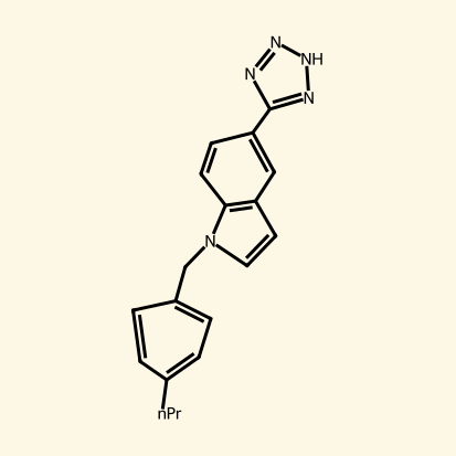 CCCc1ccc(Cn2ccc3cc(-c4nn[nH]n4)ccc32)cc1